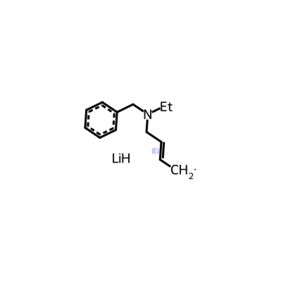 [CH2]/C=C/CN(CC)Cc1ccccc1.[LiH]